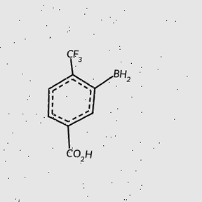 Bc1cc(C(=O)O)ccc1C(F)(F)F